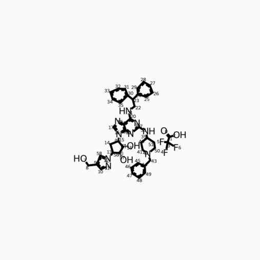 O=C(O)C(F)(F)F.OCc1cnn(C2C[C@@H](n3cnc4c(NCC(c5ccccc5)c5ccccc5)nc(NC5CCN(Cc6ccccc6)CC5)nc43)[C@H](O)[C@@H]2O)c1